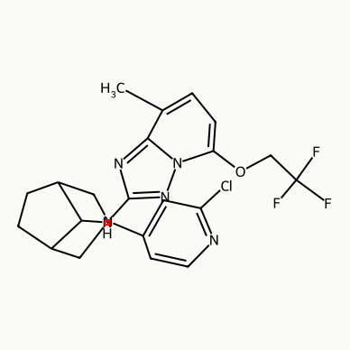 Cc1ccc(OCC(F)(F)F)n2nc(NC3C4CCC3CN(c3ccnc(Cl)c3)C4)nc12